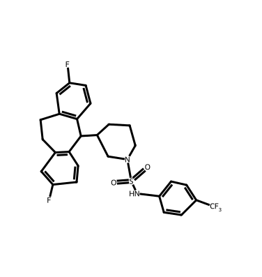 O=S(=O)(Nc1ccc(C(F)(F)F)cc1)N1CCCC(C2c3ccc(F)cc3CCc3cc(F)ccc32)C1